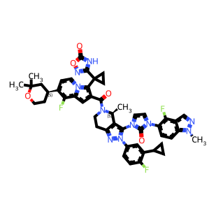 C[C@H]1c2c(nn(-c3ccc(F)c(C4CC4)c3)c2-n2ccn(-c3ccc4c(cnn4C)c3F)c2=O)CCN1C(=O)c1cc2c(F)c([C@H]3CCOC(C)(C)C3)ccn2c1C1(c2noc(=O)[nH]2)CC1